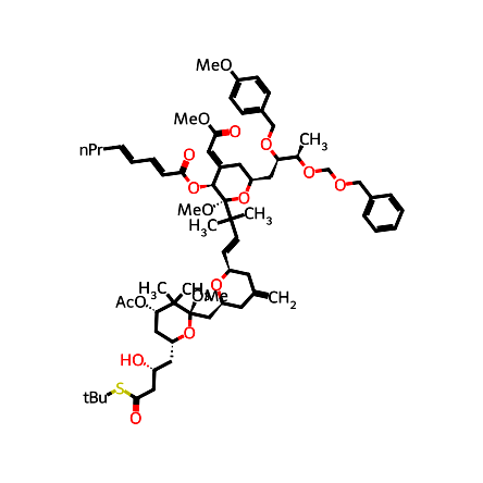 C=C1C[C@@H](C[C@]2(OC)O[C@H](C[C@@H](O)CC(=O)SC(C)(C)C)C[C@H](OC(C)=O)C2(C)C)O[C@@H](/C=C/C(C)(C)[C@]2(OC)O[C@H](C[C@@H](OCc3ccc(OC)cc3)[C@@H](C)OCOCc3ccccc3)C/C(=C\C(=O)OC)[C@@H]2OC(=O)/C=C/C=C/CCC)C1